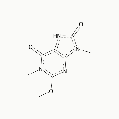 COc1nc2c([nH]c(=O)n2C)c(=O)n1C